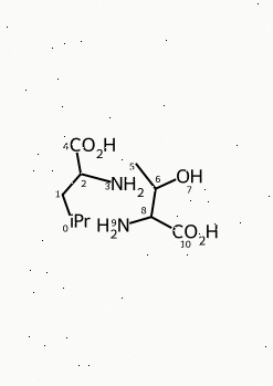 CC(C)CC(N)C(=O)O.CC(O)C(N)C(=O)O